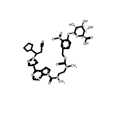 CN(CCN(C)C(=O)n1ccc2c(-c3cnn(C(CC#N)C4CCCC4)c3)ncnc21)C(=O)OCc1ccc(O[C@@H]2O[C@H](C(=O)O)[C@@H](O)[C@H](O)[C@H]2O)c([N+](=O)[O-])c1